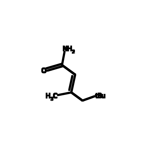 CC(=CC(N)=O)CC(C)(C)C